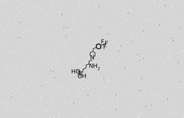 NC(CCCCB(O)O)CCN1CCC(Cc2ccc(C(F)(F)F)cc2)CC1